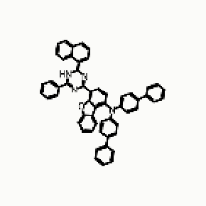 c1ccc(C2=NC(c3ccc(N(c4ccc(-c5ccccc5)cc4)c4ccc(-c5ccccc5)cc4)c4c3oc3ccccc34)=NC(c3cccc4ccccc34)N2)cc1